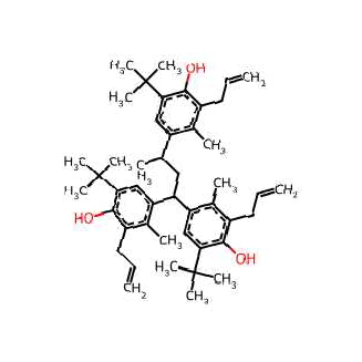 C=CCc1c(C)c(C(C)CC(c2cc(C(C)(C)C)c(O)c(CC=C)c2C)c2cc(C(C)(C)C)c(O)c(CC=C)c2C)cc(C(C)(C)C)c1O